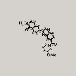 COC1CCCN(C(=O)c2ccc3ncc(-c4ccc5c(=O)n(C)ccc5c4)nc3c2)C1